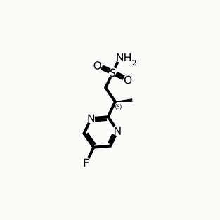 C[C@H](CS(N)(=O)=O)c1ncc(F)cn1